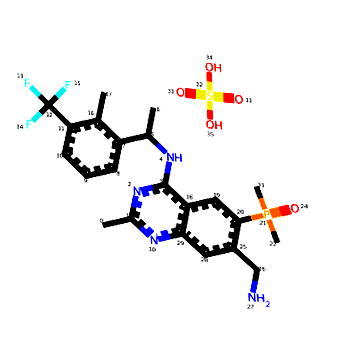 Cc1nc(NC(C)c2cccc(C(F)(F)F)c2C)c2cc(P(C)(C)=O)c(CN)cc2n1.O=S(=O)(O)O